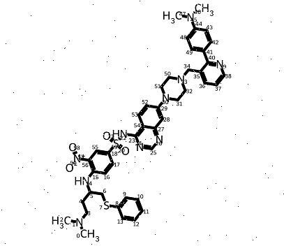 CN(C)CCC(CSc1ccccc1)Nc1ccc(S(=O)(=O)Nc2ncnc3cc(N4CCN(Cc5cccnc5-c5ccc(N(C)C)cc5)CC4)ccc23)cc1[N+](=O)[O-]